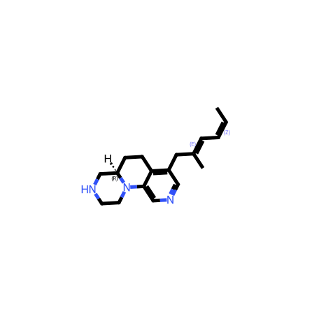 C/C=C\C=C(/C)Cc1cncc2c1CC[C@@H]1CNCCN21